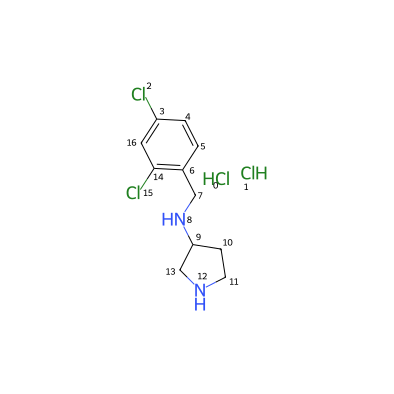 Cl.Cl.Clc1ccc(CNC2CCNC2)c(Cl)c1